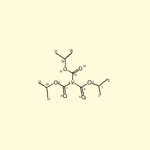 CC(C)O[C](=O)[V]([C](=O)OC(C)C)[C](=O)OC(C)C